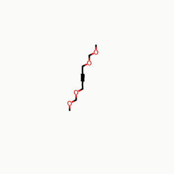 COCOCC#CCOCOC